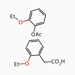 CCOc1ccccc1CC(=O)O.CCOc1ccccc1OC(C)=O